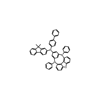 CC1(C)c2ccccc2-c2ccc(N(c3ccc(-c4ccccc4)cc3)c3cc4cc(c3)N(c3ccccc3)c3cccc5oc6cccc(c6c35)N4c3ccccc3)cc21